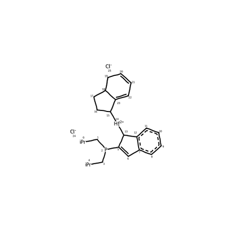 CC(C)CP(CC(C)C)C1=Cc2ccccc2[CH]1[Hf+2][CH]1CCC2CC=CC=C21.[Cl-].[Cl-]